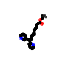 CCOC(=O)CCCCC/C=C(\c1cccnc1)c1ccccn1